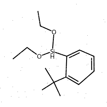 CCO[SiH](OCC)c1ccccc1C(C)(C)C